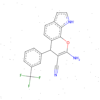 N#CC1=C(N)Oc2c(ccc3cc[nH]c23)C1c1cccc(C(F)(F)F)c1